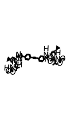 COC(=O)N[C@H](C(=O)N1CC2(CC2)C[C@H]1c1ncc(-c2ccc(C#Cc3ccc4nc([C@@H]5C[C@@H](C6CC6)CN5C(=O)[C@@H](NC(=O)OC)C(C)C)[nH]c4c3)cc2)[nH]1)C(C)C